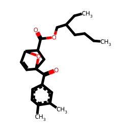 CCCCC(CC)COC(=O)C1CC2(C(=O)c3ccc(C)c(C)c3)C=CC1O2